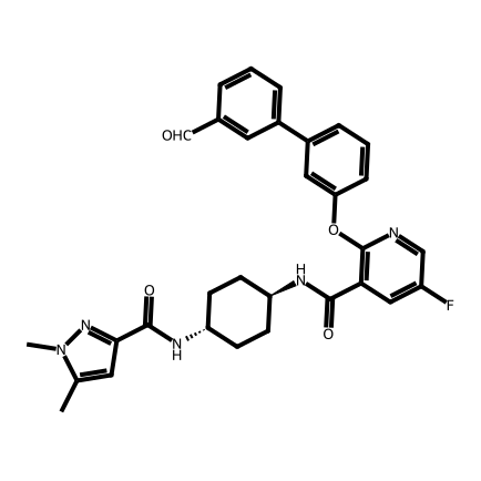 Cc1cc(C(=O)N[C@H]2CC[C@H](NC(=O)c3cc(F)cnc3Oc3cccc(-c4cccc(C=O)c4)c3)CC2)nn1C